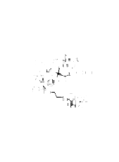 CCCCCCCCCCCCOS(=O)(=O)[O-].O=C([O-])CC(O)(CC(=O)[O-])C(=O)[O-].[Na+].[Na+].[Na+].[Na+]